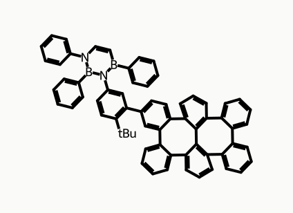 CC(C)(C)c1ccc(N2B(c3ccccc3)C=CN(c3ccccc3)B2c2ccccc2)cc1-c1ccc2c3cccc4c3-c3c(cccc3c3ccccc3c2c1)c1ccccc1c1ccccc41